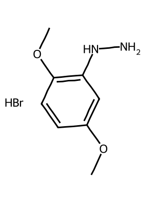 Br.COc1ccc(OC)c(NN)c1